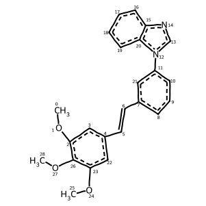 COc1cc(/C=C/c2cccc(-n3cnc4ccccc43)c2)cc(OC)c1OC